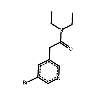 CCN(CC)C(=O)Cc1cncc(Br)c1